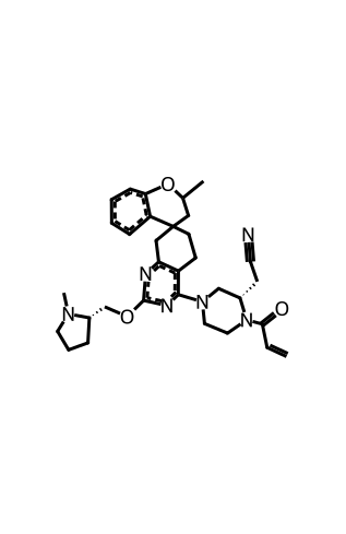 C=CC(=O)N1CCN(c2nc(OC[C@@H]3CCCN3C)nc3c2CCC2(C3)CC(C)Oc3ccccc32)C[C@@H]1CC#N